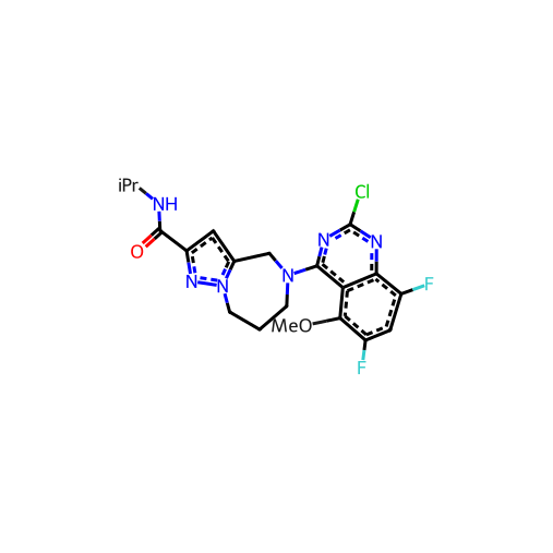 COc1c(F)cc(F)c2nc(Cl)nc(N3CCCn4nc(C(=O)NC(C)C)cc4C3)c12